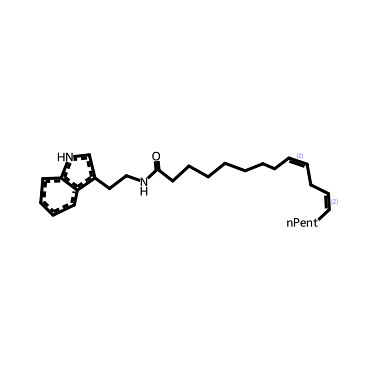 CCCCC/C=C\C/C=C\CCCCCCCC(=O)NCCc1c[nH]c2ccccc12